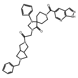 O=C(CN1CN(c2ccccc2)C2(CCN(C(=O)c3cnc4[nH]ncc4c3)CC2)C1=O)N1CC2CN(Cc3ccccc3)CC2C1